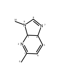 CC1=NC2C(C=C1)N=CN2C